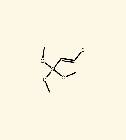 CO[Si](C=CCl)(OC)OC